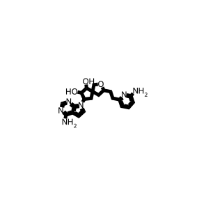 Nc1cccc(CCC2CC3(CO2)CC(n2ccc4c(N)ncnc42)C(O)C3O)n1